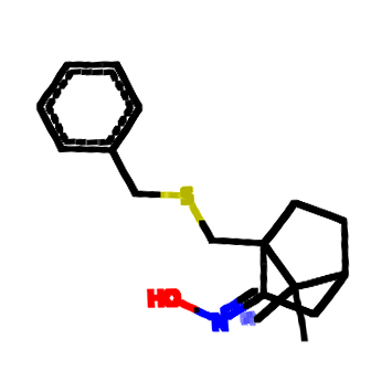 CC1(C)C2CCC1(CSCc1ccccc1)/C(=N\O)C2